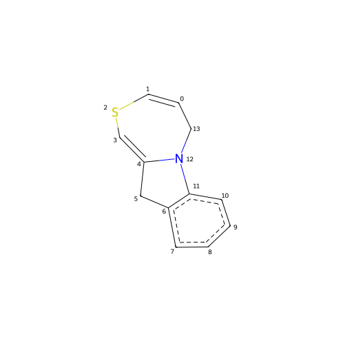 C1=CSC=C2Cc3ccccc3N2C1